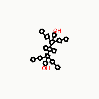 Oc1ccc(-c2c(-c3ccc(-c4ccccc4)cc3)cc(-c3c4ccccc4c(-c4cc(-c5ccc(-c6ccccc6)cc5)c(-c5ccc(O)cc5)c(-c5ccc(-c6ccccc6)cc5)c4)c4ccccc34)cc2-c2ccc(-c3ccccc3)cc2)cc1